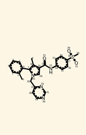 Cc1ccccc1-c1c(C)c(C(=O)Nc2ccc(S(C)(=O)=O)cc2)cn1Cc1ccncn1